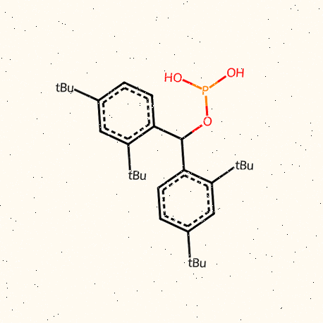 CC(C)(C)c1ccc(C(OP(O)O)c2ccc(C(C)(C)C)cc2C(C)(C)C)c(C(C)(C)C)c1